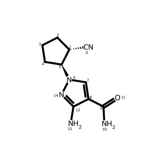 N#C[C@H]1CCC[C@@H]1n1cc(C(N)=O)c(N)n1